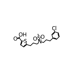 CS(=O)(=O)N(CCCc1cccc(Cl)c1)CCCc1ccc(C(=O)O)s1